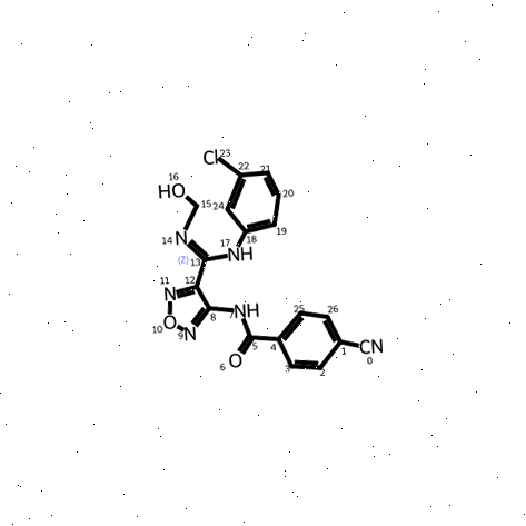 N#Cc1ccc(C(=O)Nc2nonc2/C(=N/CO)Nc2cccc(Cl)c2)cc1